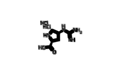 Cl.Cl.N=C(N)N[C@@H]1CN[C@H](C(=O)O)C1